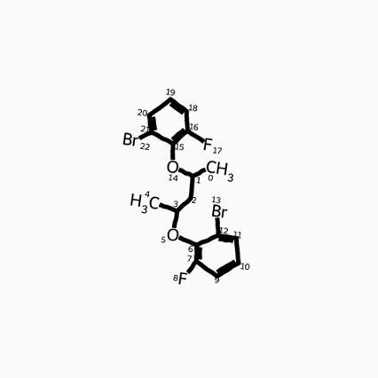 CC(CC(C)Oc1c(F)cccc1Br)Oc1c(F)cccc1Br